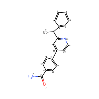 CCC(c1ccccc1)c1cc(-c2ccc(C(N)=O)cc2)ccn1